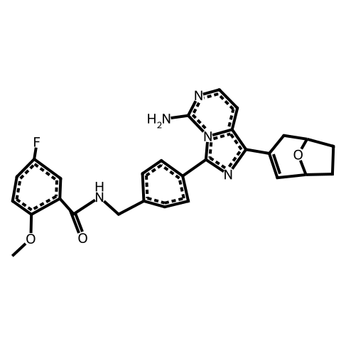 COc1ccc(F)cc1C(=O)NCc1ccc(-c2nc(C3=CC4CCC(C3)O4)c3ccnc(N)n23)cc1